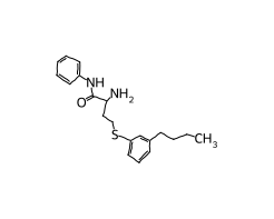 CCCCc1cccc(SCCC(N)C(=O)Nc2ccccc2)c1